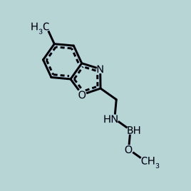 COBNCc1nc2cc(C)ccc2o1